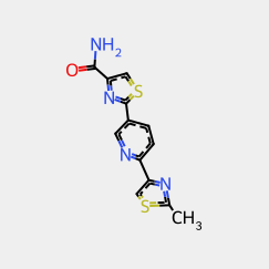 Cc1nc(-c2ccc(-c3nc(C(N)=O)cs3)cn2)cs1